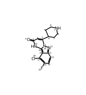 O=c1cc(C2CCNCC2)n2nc3ccc(F)c(Cl)c3c2[nH]1